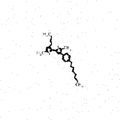 CCCCCCCCc1ccc(-c2cc(-c3sc(C)cc3CCCC)sc2C)cc1